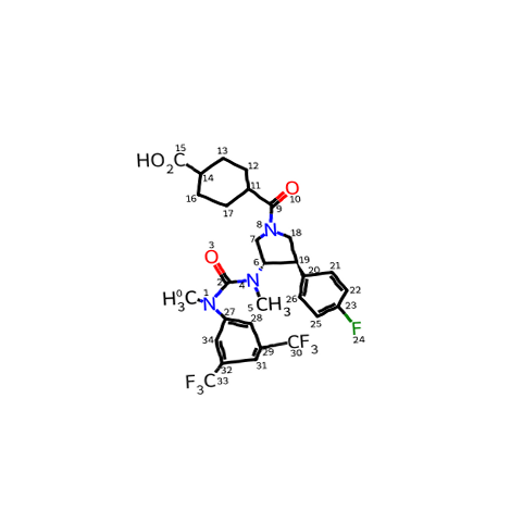 CN(C(=O)N(C)[C@@H]1CN(C(=O)C2CCC(C(=O)O)CC2)C[C@H]1c1ccc(F)cc1)c1cc(C(F)(F)F)cc(C(F)(F)F)c1